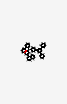 c1ccc(-c2cc(-c3ccccc3)cc(-c3ccc(N(c4cccc(-c5cccc6ccccc56)c4)c4ccccc4-c4ccccc4)cc3)c2)cc1